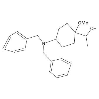 COC1(C(C)O)CCC(N(Cc2ccccc2)Cc2ccccc2)CC1